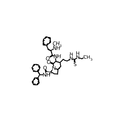 CCNC(=S)NCCC1CC2CC[C@@H](C(=O)NC(c3ccccc3)c3ccccc3)N2C(=O)C1NC(=O)C(Cc1ccccc1)NC